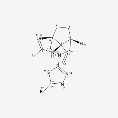 C=C[C@@]1(NC(C)=O)[C@@H]2CC[C@H]1CN(c1nnc(Br)s1)C2